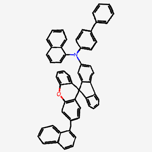 c1ccc(-c2ccc(N(c3ccc4c(c3)C3(c5ccccc5Oc5cc(-c6cccc7ccccc67)ccc53)c3ccccc3-4)c3cccc4ccccc34)cc2)cc1